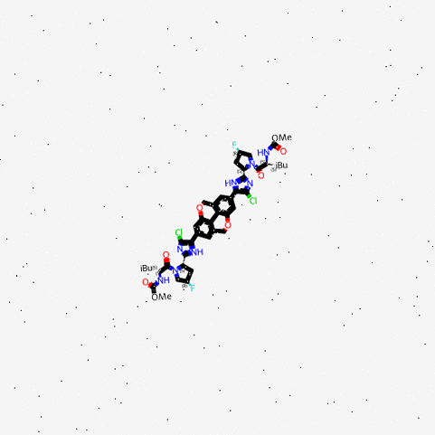 CC[C@H](C)[C@H](NC(=O)OC)C(=O)N1C[C@H](F)C[C@H]1c1nc(Cl)c(-c2cc3c4c(c2)OCc2cc(-c5[nH]c([C@@H]6C[C@@H](F)CN6C(=O)[C@@H](NC(=O)OC)[C@@H](C)CC)nc5Cl)cc(c2-4)OC3)[nH]1